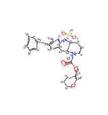 CS(=O)(=O)NC1CCCN(C(=O)OC2CCCOC2)C1Cc1cccc(-c2ccccc2)c1